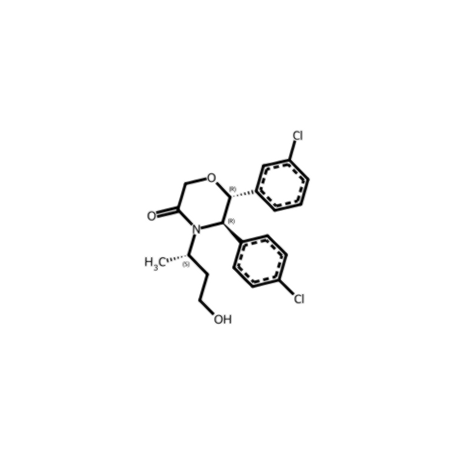 C[C@@H](CCO)N1C(=O)CO[C@H](c2cccc(Cl)c2)[C@H]1c1ccc(Cl)cc1